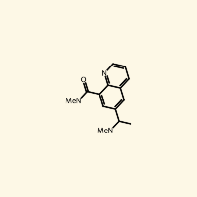 CNC(=O)c1cc(C(C)NC)cc2cccnc12